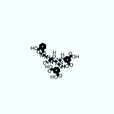 [C-]#[N+]c1nn(-c2nc(Nc3cc(C(=O)O)cc(C(=O)O)c3)nc(Nc3cc(C(=O)O)cc(C(=O)O)c3)n2)c(O)c1/N=N/c1nnc(-c2ccccc2C(=O)O)s1